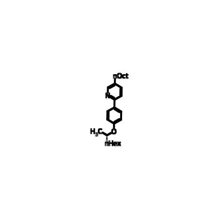 CCCCCCCCc1ccc(-c2ccc(O[C@@H](C)CCCCCC)cc2)nc1